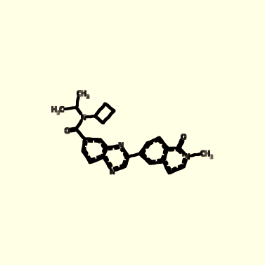 CC(C)N(C(=O)c1ccc2ncc(-c3ccc4c(=O)n(C)ccc4c3)nc2c1)C1CCC1